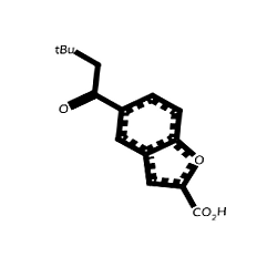 CC(C)(C)CC(=O)c1ccc2oc(C(=O)O)cc2c1